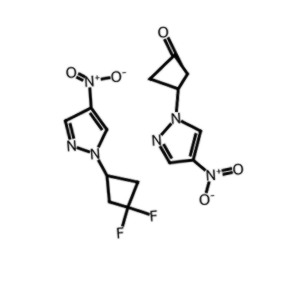 O=C1CC(n2cc([N+](=O)[O-])cn2)C1.O=[N+]([O-])c1cnn(C2CC(F)(F)C2)c1